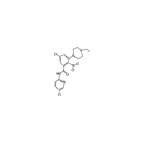 CCN1CCN(c2cc(Cl)cc(C(=O)Nc3ccc(Cl)cn3)c2[N+](=O)[O-])CC1